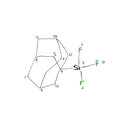 F[Si](F)(F)C12CC3CC(CC(C3)C1)C2